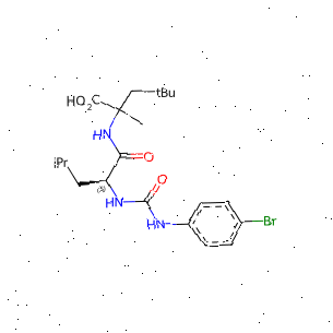 CC(C)C[C@H](NC(=O)Nc1ccc(Br)cc1)C(=O)NC(C)(CC(C)(C)C)C(=O)O